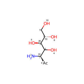 CC(=O)[C@@H](N)C(O)[C@@H](O)[C@@H](O)CO